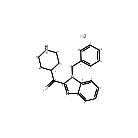 Cl.O=C(c1nc2ccccc2n1Cc1ccccc1)C1CCNCC1